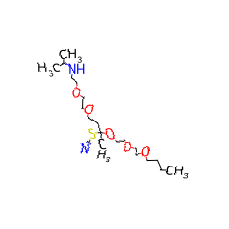 CCCCOCCOCCOC(C)(CCOCCOCCNC(C)C)SC#N